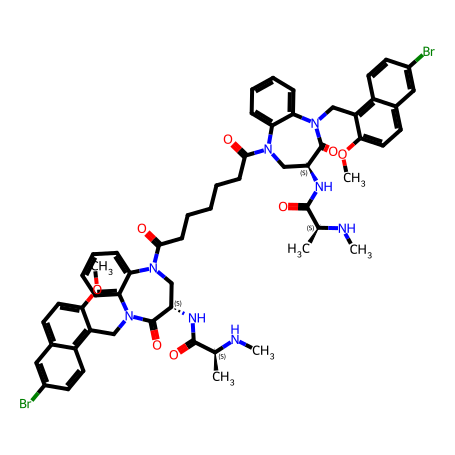 CN[C@@H](C)C(=O)N[C@H]1CN(C(=O)CCCCCC(=O)N2C[C@H](NC(=O)[C@H](C)NC)C(=O)N(Cc3c(OC)ccc4cc(Br)ccc34)c3ccccc32)c2ccccc2N(Cc2c(OC)ccc3cc(Br)ccc23)C1=O